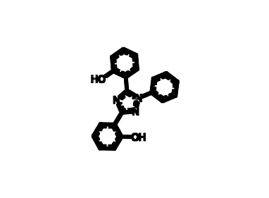 Oc1ccccc1-c1nc(-c2ccccc2O)n(-c2ccccc2)n1